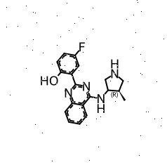 C[C@@H]1CNCC1Nc1nc(-c2cc(F)ccc2O)nc2ccccc12